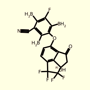 Bc1c(F)c(B)c(Oc2ccc3c4c2C(=O)C[C@]4(O)C(F)(F)C3(F)F)c(B)c1C#N